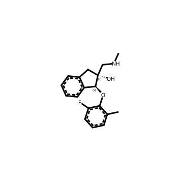 CNC[C@]1(O)Cc2ccccc2[C@@H]1Oc1c(C)cccc1F